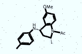 COc1ccc2c(c1)[C@@H](Nc1ccc(C)cc1)C[C@@H](C)N2C(C)=O